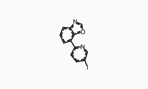 Ic1ccc(-c2cccc3ncoc23)nc1